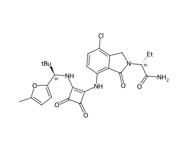 CC[C@H](C(N)=O)N1Cc2c(Cl)ccc(Nc3c(N[C@@H](c4ccc(C)o4)C(C)(C)C)c(=O)c3=O)c2C1=O